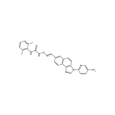 Cc1cccc(C)c1NC(=O)NS/N=C/c1ccc2c(ccc3c2ncn3-c2ccc(C(F)(F)F)cn2)c1